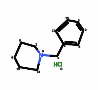 Cl.c1ccc(CN2CCCCC2)cc1